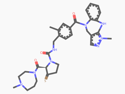 Cc1cc(C(=O)N2Cc3cnn(C)c3Nc3ccccc32)ccc1CNC(=O)N1CCC(=S)[C@H]1C(=O)N1CCCN(C)CC1